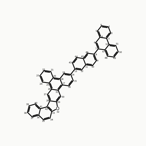 c1ccc2c(c1)cc(-c1ccc3cc(-c4ccc5c(c4)c4ccccc4c4cc6c(cc54)oc4ccc5ccccc5c46)ccc3c1)c1ccccc12